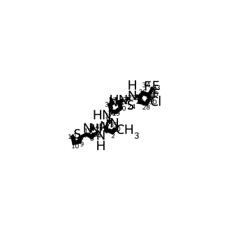 Cc1cc(Nc2cc(-c3cccs3)n[nH]2)nc(Nc2ccc(NC(=S)Nc3ccc(Cl)c(C(F)(F)F)c3)nc2)n1